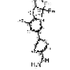 CC(Oc1ncc(-c2cnc(NN)cn2)cc1F)C(F)(F)F